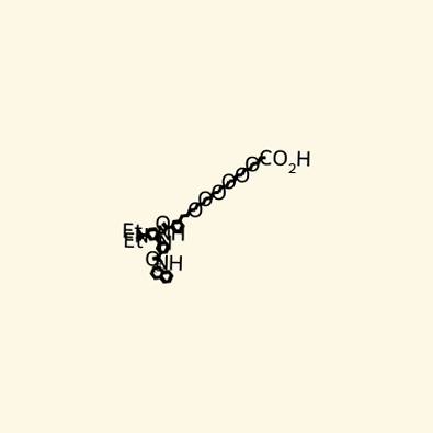 CCN(CC)c1ccc(NC(=O)c2cccc(CCCOCCOCCOCCOCCOCCOCCC(=O)O)c2)c(-c2cc(C(=O)N[C@H]3CCCc4ccccc43)ccn2)c1